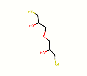 OC(CS)COCC(O)CS